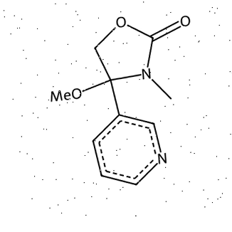 COC1(c2cccnc2)COC(=O)N1C